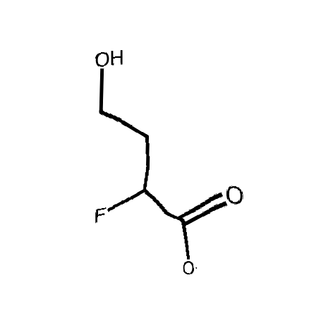 [O]C(=O)C(F)CCO